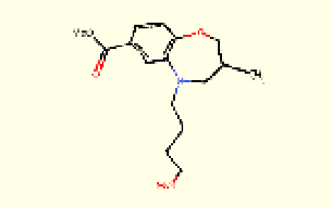 COC(=O)c1ccc2c(c1)N(CCCCO)CC(C)CO2